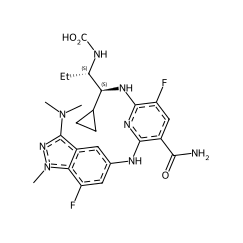 CC[C@H](NC(=O)O)[C@@H](Nc1nc(Nc2cc(F)c3c(c2)c(N(C)C)nn3C)c(C(N)=O)cc1F)C1CC1